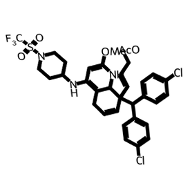 COC1=CC(NC2CCN(S(=O)(=O)C(F)(F)F)CC2)=C2CC=CC(/C=C/COC(C)=O)(C(c3ccc(Cl)cc3)c3ccc(Cl)cc3)C2N1